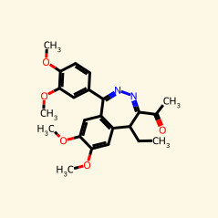 CCC1C(C(C)=O)=NN=C(c2ccc(OC)c(OC)c2)c2cc(OC)c(OC)cc21